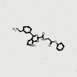 NCc1cccc(-c2nc(C(=O)NCC(=O)Oc3ccccc3)nc3[nH]ccc23)c1